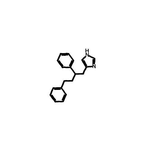 c1ccc(CCC(Cc2c[nH]cn2)c2ccccc2)cc1